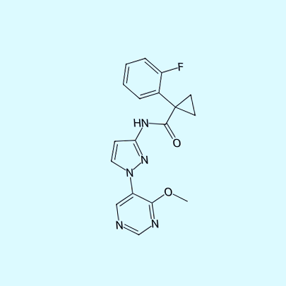 COc1ncncc1-n1ccc(NC(=O)C2(c3ccccc3F)CC2)n1